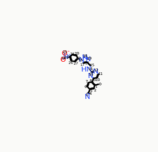 Cc1cc(C#N)ccc1-c1ccnc(NCc2cn(-c3ccc([N+](=O)[O-])cc3)nn2)n1